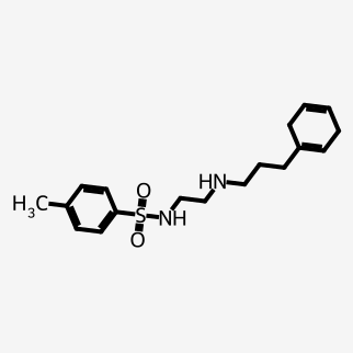 Cc1ccc(S(=O)(=O)NCCNCCCC2=CCC=CC2)cc1